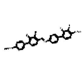 CCCCCc1ccc(-c2ccc(COc3ccc(-c4ccc(OC)c(F)c4F)cc3)c(F)c2F)cc1